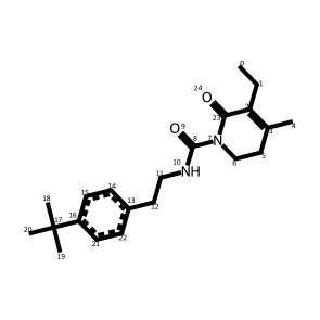 CCC1=C(C)CCN(C(=O)NCCc2ccc(C(C)(C)C)cc2)C1=O